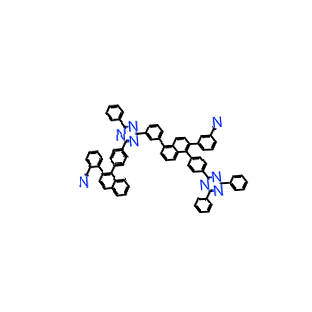 N#Cc1cccc(-c2ccc3c(-c4cccc(-c5nc(-c6ccccc6)nc(-c6ccc(-c7c(-c8ccccc8C#N)ccc8ccccc78)cc6)n5)c4)cccc3c2-c2ccc(-c3nc(-c4ccccc4)nc(-c4ccccc4)n3)cc2)c1